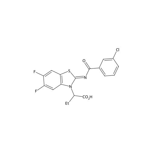 CCC(C(=O)O)n1/c(=N/C(=O)c2cccc(Cl)c2)sc2cc(F)c(F)cc21